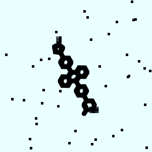 CC1=CC(c2ccc(-c3c4ccccc4c(-c4ccc(-c5cc[nH]c5)cc4)c4ccccc34)cc2)=CCN1